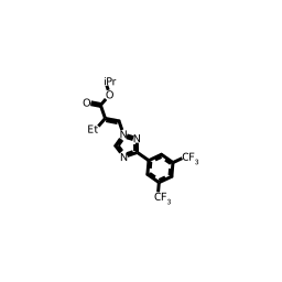 CC/C(=C\n1cnc(-c2cc(C(F)(F)F)cc(C(F)(F)F)c2)n1)C(=O)OC(C)C